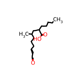 CCCCCC(CC(C)CCCC=CC=O)C(=O)O